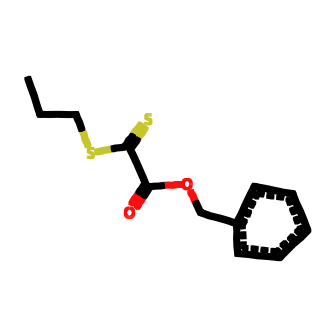 CCCSC(=S)C(=O)OCc1ccccc1